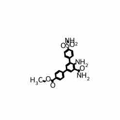 CCOC(=O)c1ccc(-c2cc(C(N)=O)c(N)c(-c3ccc(S(N)(=O)=O)cc3)c2)cc1